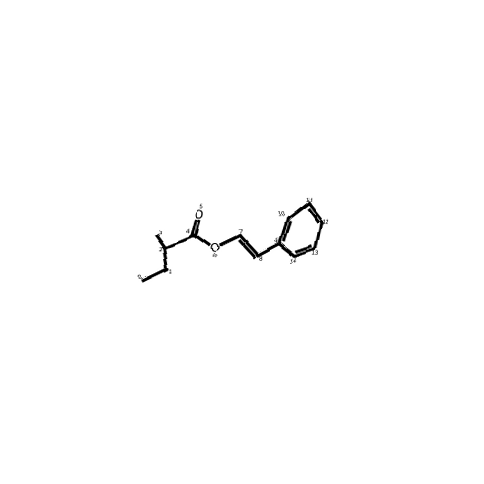 CCC(C)C(=O)OC=Cc1ccccc1